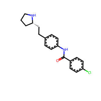 O=C(Nc1ccc(CC[C@@H]2CCCN2)cc1)c1ccc(Cl)cc1